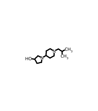 CC(C)CN1CCC(N2CCC(O)C2)CC1